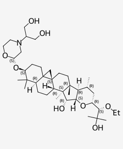 CCO[C@@H]([C@H]1C[C@@H](C)[C@H]2[C@H](O1)[C@H](O)[C@@]1(C)[C@@H]3CC[C@H]4C(C)(C)[C@@H](O[C@H]5CN(C(CO)CO)CCO5)CCC45C[C@@]35CC[C@]21C)C(C)(C)O